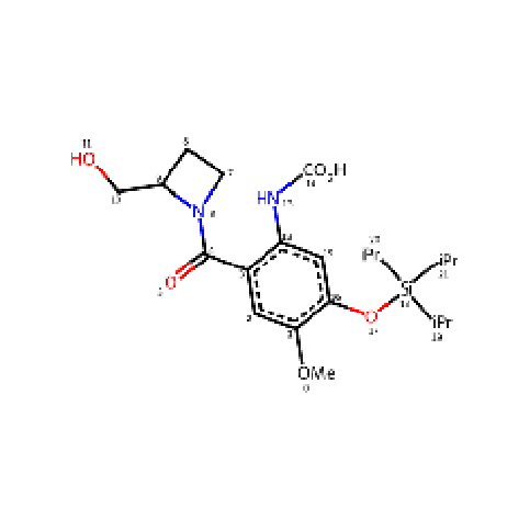 COc1cc(C(=O)N2CCC2CO)c(NC(=O)O)cc1O[Si](C(C)C)(C(C)C)C(C)C